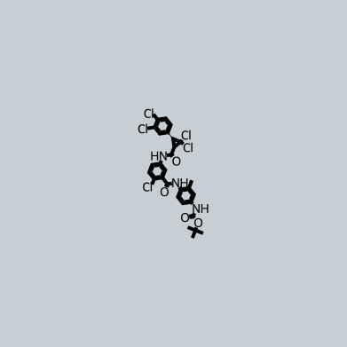 Cc1cc(NC(=O)OC(C)(C)C)ccc1NC(=O)c1cc(NC(=O)C2[C@H](c3ccc(Cl)c(Cl)c3)C2(Cl)Cl)ccc1Cl